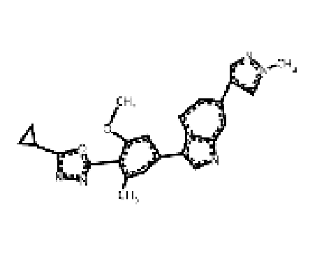 COc1cc(-c2cnc3cc(-c4cnn(C)c4)ccn23)cc(C)c1-c1nnc(C2CC2)o1